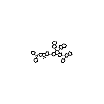 CC1(C)c2cc(-c3ccc4c(c3)c(-c3ccc5ccccc5c3)c(-c3ccc5ccccc5c3)c3cc(-c5cc6ccccc6cc5-c5ccccc5)ccc34)ccc2-c2ccc(N(c3ccccc3)c3ccccc3)cc21